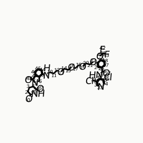 O=C1CCC(N2Cc3c(NCCCOCCOCCOCCOc4cc(C(=O)Nc5c(Cl)cncc5Cl)ccc4OC(F)F)cccc3C2=O)C(=O)N1